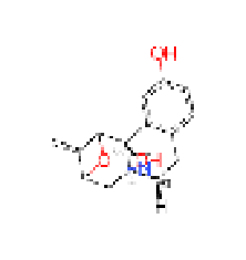 C=C1C2C[C@@]3(O)[C@H]4Cc5ccc(O)cc5[C@@]3(CCN4)C1O2